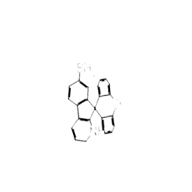 Bc1ccc2c(c1)C1(C3=C2C=CCN3)c2ccccc2Oc2ccccc21